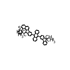 CC1(C)c2ccccc2-c2cc(-c3c4ccccc4c(-c4ccc5c(c4)-c4ccc6ccc7sc8ccccc8c7c6c4C5(C)C)c4ccccc34)ccc21